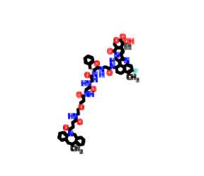 C=C1Cc2ccccc2N(C(=O)CCC(=O)NCCOCCC(=O)NCC(=O)NCC(=O)N[C@H](Cc2ccccc2)C(=O)NCC(=O)NC2CCc3c(C)c(F)cc4nc5c(c2c34)Cn2c-5cc3c(c2=O)COC(=O)[C@]3(O)CC)Cc2ccccc21